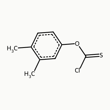 Cc1ccc(OC(=S)Cl)cc1C